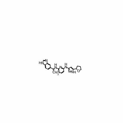 C[C@H](Nc1nccc(Nc2cc(C3CCCO3)[nH]n2)n1)c1ccc2[nH]cnc2c1